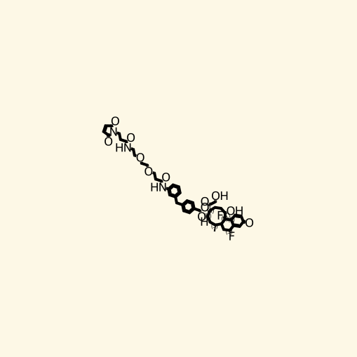 C[C@H]1C[C@H]2OC(c3ccc(Cc4cccc(NC(=O)CCOCCOCCNC(=O)CCN5C(=O)C=CC5=O)c4)cc3)O[C@@]2(C(=O)CO)CCC(O)[C@@]2(F)C1C[C@H](F)C1=CC(=O)C=C[C@@]12C